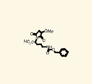 COC1CC(=O)N([C@@H](CCCNC(=O)OCc2ccccc2)C(=O)O)C1=O